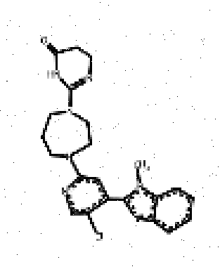 Cn1c(-c2cc(N3CCCN(C4=NCCC(=O)N4)CC3)ncc2Cl)nc2ccccc21